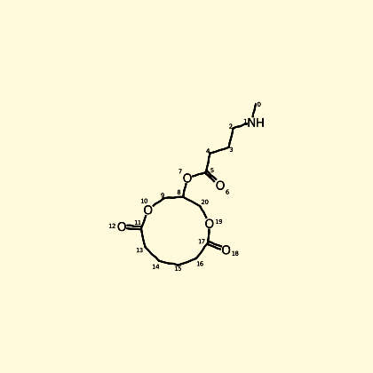 CNCCCC(=O)OC1COC(=O)CCCCC(=O)OC1